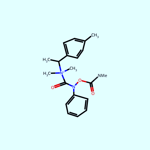 CNC(=O)ON(C(=O)[N+](C)(C)C(C)c1ccc(C)cc1)c1ccccc1